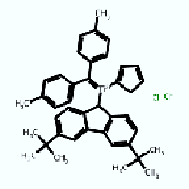 Cc1ccc([C](c2ccc(C)cc2)=[Ti+2]([C]2=CC=CC2)[CH]2c3ccc(C(C)(C)C)cc3-c3cc(C(C)(C)C)ccc32)cc1.[Cl-].[Cl-]